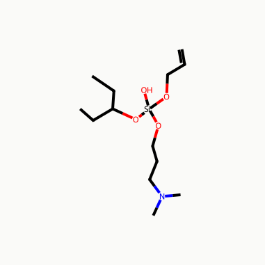 C=CCO[Si](O)(OCCCN(C)C)OC(CC)CC